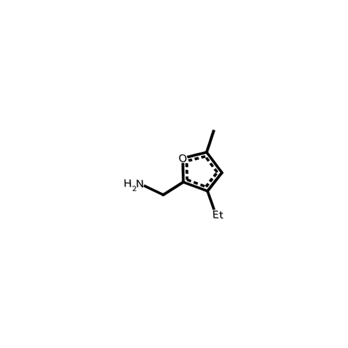 CCc1cc(C)oc1CN